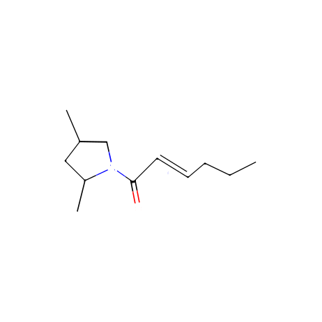 CCC/C=C/C(=O)N1CC(C)CC1C